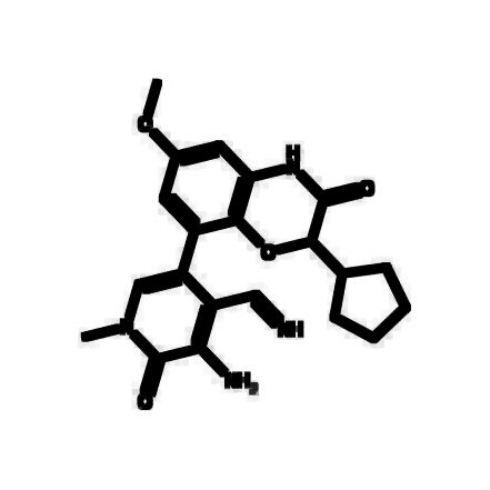 COc1cc2c(c(-c3cn(C)c(=O)c(N)c3C=N)c1)OC(C1CCCC1)C(=O)N2